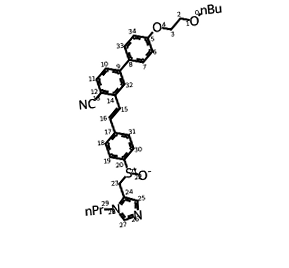 CCCCOCCOc1ccc(-c2ccc(C#N)c(/C=C/c3ccc([S+]([O-])Cc4cncn4CCC)cc3)c2)cc1